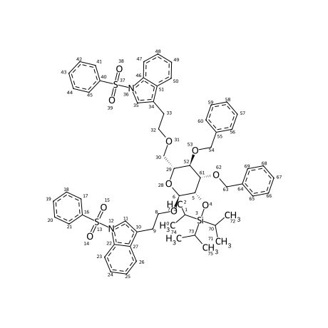 CC(C)[Si](O[C@@H]1[C@@H](OCCc2cn(S(=O)(=O)c3ccccc3)c3ccccc23)O[C@H](COCCc2cn(S(=O)(=O)c3ccccc3)c3ccccc23)[C@@H](OCc2ccccc2)[C@@H]1OCc1ccccc1)(C(C)C)C(C)C